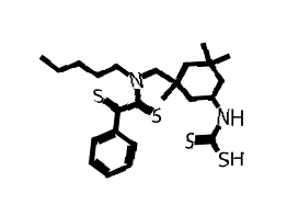 CCCCCN(CC1(C)CC(NC(=S)S)CC(C)(C)C1)C(=S)C(=S)c1ccccc1